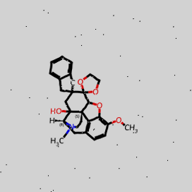 COc1ccc2c3c1OC1C4(OCCO4)C4(Cc5ccccc5C4)CC4(O)[C@@H](C2)N(C)CC[C@]314